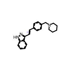 C(=C\c1n[nH]c2ccccc12)/c1ccc(CN2CCCCC2)cc1